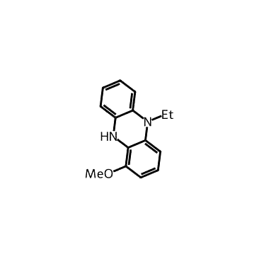 CCN1c2ccccc2Nc2c(OC)cccc21